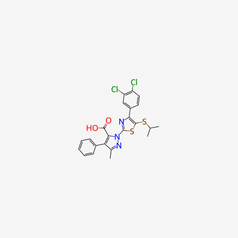 Cc1nn(-c2nc(-c3ccc(Cl)c(Cl)c3)c(SC(C)C)s2)c(C(=O)O)c1-c1ccccc1